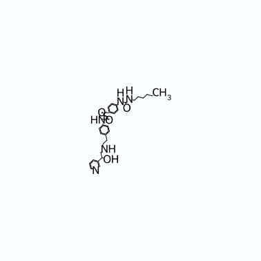 CCCCCCNC(=O)Nc1ccc(S(=O)(=O)Nc2ccc(CCNCC(O)c3cccnc3)cc2)cc1